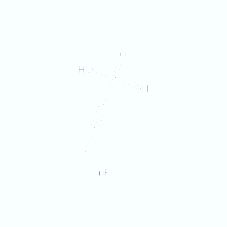 CCCCC#CP(=O)(O)O